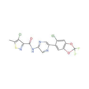 Cc1snc(C(=O)Nc2cnc(-c3cc4c(cc3Cl)OC(F)(F)O4)cn2)c1Cl